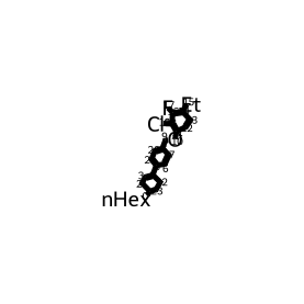 CCCCCCC1CC=C(c2ccc(COc3ccc(CC)c(F)c3Cl)cc2)CC1